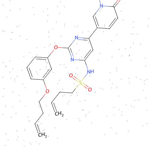 C=CCCOc1cccc(Oc2nc(NS(=O)(=O)CCC=C)cc(-c3ccc(=O)n(C)c3)n2)c1